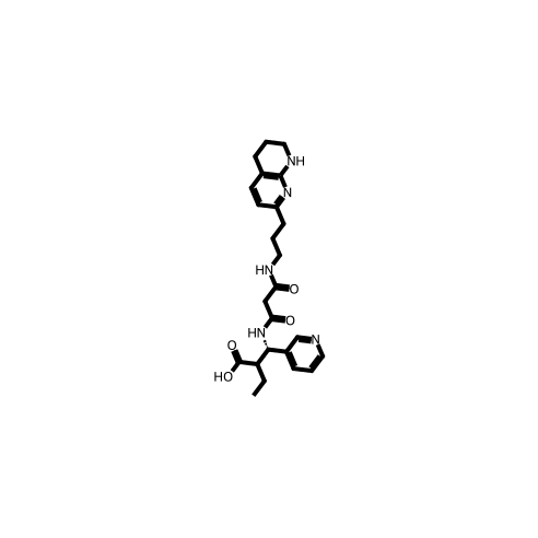 CCC(C(=O)O)[C@H](NC(=O)CC(=O)NCCCc1ccc2c(n1)NCCC2)c1cccnc1